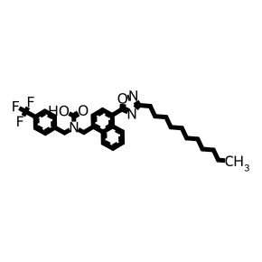 CCCCCCCCCCCc1noc(-c2ccc(CN(Cc3ccc(C(F)(F)F)cc3)C(=O)O)c3ccccc23)n1